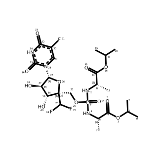 CC(C)OC(=O)[C@H](C)NP(=O)(N[C@@H](C)C(=O)OC(C)C)OC[C@@]1(C(F)F)O[C@@H](n2cc(F)c(=O)[nH]c2=O)[C@H](O)[C@H]1O